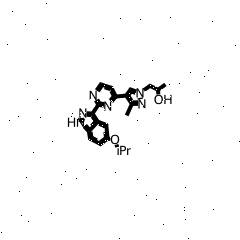 Cc1nn(CC(C)O)cc1-c1ccnc(-c2n[nH]c3ccc(OC(C)C)cc23)n1